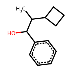 CC(C1CCC1)C(O)c1ccccc1